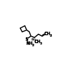 C=CC[C@H](C)C(CC1CCC1)SN